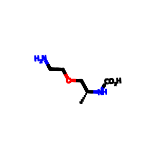 C[C@H](COCCN)NC(=O)O